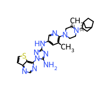 Cc1cc(Nc2nc(N)n(-c3ncnc4ccsc34)n2)cnc1N1CCN([C@H]2CC3CCC2C3)[C@@H](C)C1